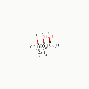 O=C(O)O.O=C(O)O.O=C(O)O.[AsH3]